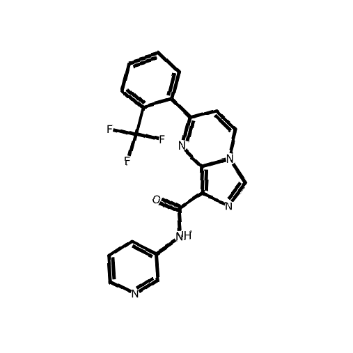 O=C(Nc1cccnc1)c1ncn2ccc(-c3ccccc3C(F)(F)F)nc12